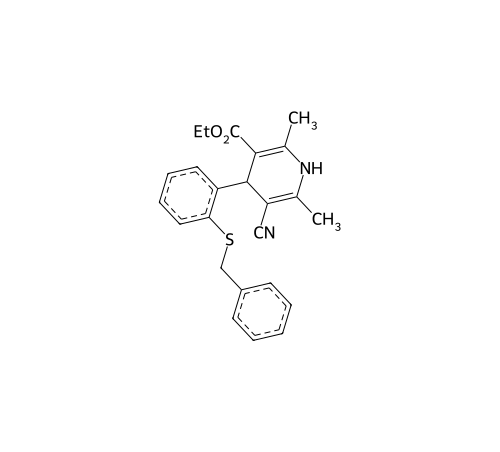 CCOC(=O)C1=C(C)NC(C)=C(C#N)C1c1ccccc1SCc1ccccc1